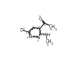 CNc1nnc(Cl)cc1C(C)=O